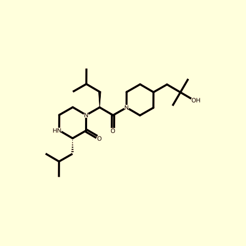 CC(C)C[C@@H]1NCCN([C@@H](CC(C)C)C(=O)N2CCC(CC(C)(C)O)CC2)C1=O